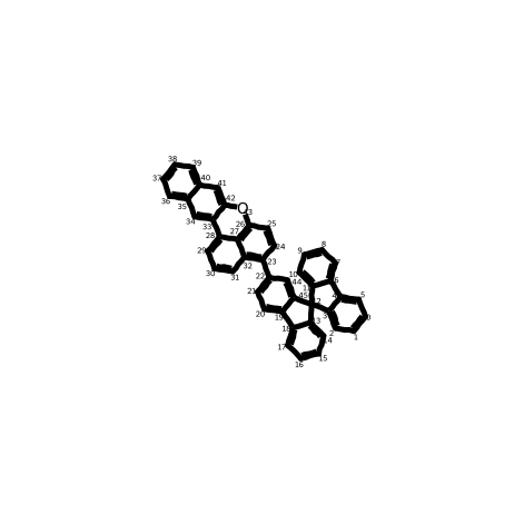 c1ccc2c(c1)-c1ccccc1C21c2ccccc2-c2ccc(-c3ccc4c5c(cccc35)-c3cc5ccccc5cc3O4)cc21